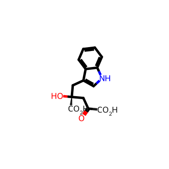 O=C(O)C(=O)C[C@](O)(Cc1c[nH]c2ccccc12)C(=O)O